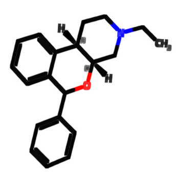 CCN1CC[C@H]2c3ccccc3C(c3ccccc3)O[C@H]2C1